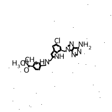 CN(C)C(=O)c1ccc(CNCc2cc3cc(Cl)cc(Cn4cnc5c(N)ncnc54)c3[nH]2)cc1